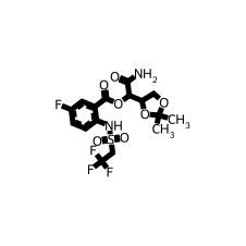 CC1(C)OCC(C(OC(=O)c2cc(F)ccc2NS(=O)(=O)CC(F)(F)F)C(N)=O)O1